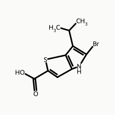 CC(C)c1c(Br)[nH]c2cc(C(=O)O)sc12